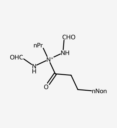 CCCCCCCCCCCC(=O)[N+](CCC)(NC=O)NC=O